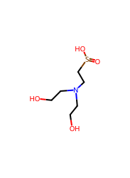 O=S(O)CCN(CCO)CCO